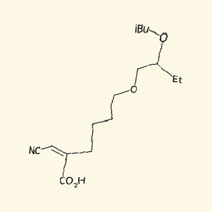 CCC(C)OC(CC)COCCCCC(=CC#N)C(=O)O